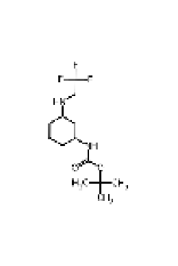 CC(C)(C)OC(=O)NC1CCCC(NCC(F)(F)F)C1